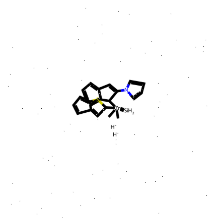 [CH3][Zr]([CH3])(=[SiH2])([CH]1C=C2C=CC=C2S1)[CH]1C(n2cccc2)=Cc2ccccc21.[H-].[H-]